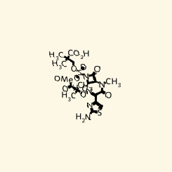 COC(=O)C(C)(C)O/N=C(/C(=O)N(C)[C@@H]1C(=O)N(S(=O)(=O)OCC(C)(C)C(=O)O)[C@H]1C)c1csc(N)n1